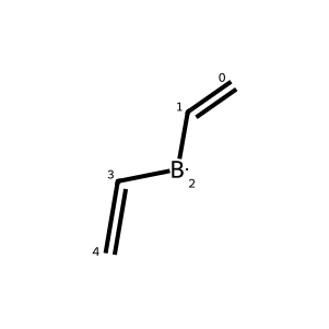 C=C[B]C=C